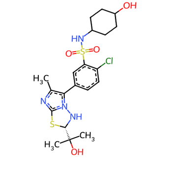 Cc1nc2n(c1-c1ccc(Cl)c(S(=O)(=O)NC3CCC(O)CC3)c1)N[C@H](C(C)(C)O)S2